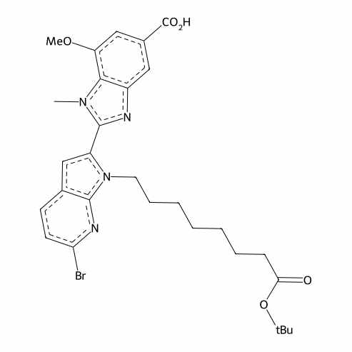 COc1cc(C(=O)O)cc2nc(-c3cc4ccc(Br)nc4n3CCCCCCCC(=O)OC(C)(C)C)n(C)c12